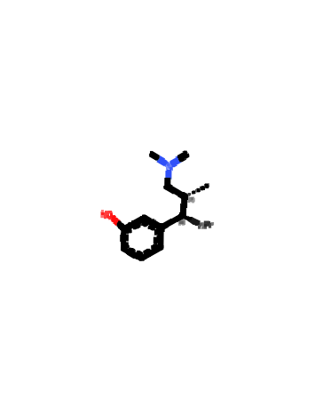 CCC[C@@H](c1cccc(O)c1)[C@@H](C)CN(C)C